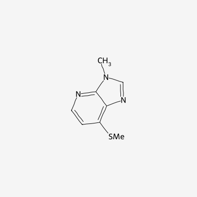 CSc1ccnc2c1ncn2C